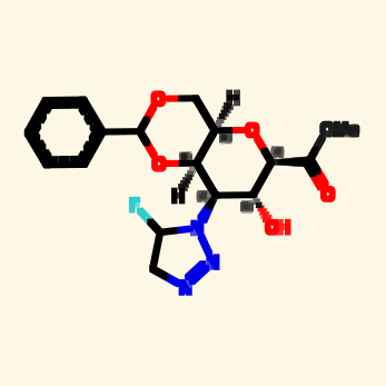 COC(=O)[C@@H]1O[C@@H]2COC(c3ccccc3)O[C@@H]2[C@H](N2N=NCC2F)[C@H]1O